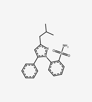 CC(C)Cc1cc(-c2ccccc2)n(-c2ccccc2S(N)(=O)=O)n1